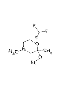 CCOC1(C)CN(C)CCO1.FC(F)F